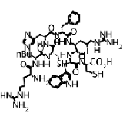 CCCC[C@H](NC(=O)[C@@H](N)CCCNC(=N)N)C(=O)N[C@@H](CS)C(=O)N[C@@H](Cc1c[nH]cn1)C(=O)N[C@H](Cc1ccccc1)C(=O)N[C@@H](CC(I)CNC(=N)N)C(=O)N[C@H](Cc1c[nH]c2ccccc12)C(=O)N[C@@H](CS)C(=O)O